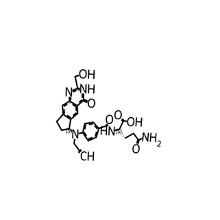 C#CCN(c1ccc(C(=O)N[C@@H](CCC(N)=O)C(=O)O)cc1)[C@H]1CCc2cc3nc(CO)[nH]c(=O)c3cc21